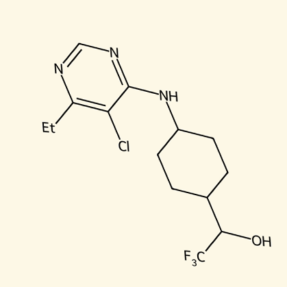 CCc1ncnc(NC2CCC(C(O)C(F)(F)F)CC2)c1Cl